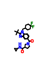 CC(C)(C)c1nc2cc(C(=O)N3CCC(C(=O)NC4CC4)C3)ccc2n1CC1CCC(F)(F)CC1